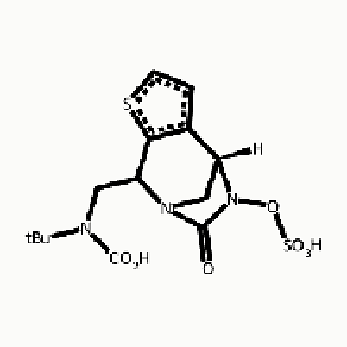 CC(C)(C)N(CC1c2sccc2[C@H]2CN1C(=O)N2OS(=O)(=O)O)C(=O)O